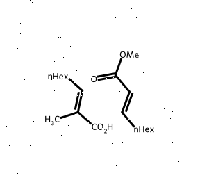 CCCCCC/C=C(\C)C(=O)O.CCCCCCC=CC(=O)OC